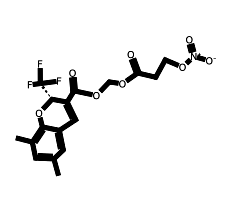 Cc1cc(C)c2c(c1)C=C(C(=O)OCOC(=O)CCO[N+](=O)[O-])[C@@H](C(F)(F)F)O2